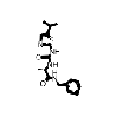 CC(C)c1cnc(NC(=O)N[C@H](C)C(=O)NCc2ccccc2)s1